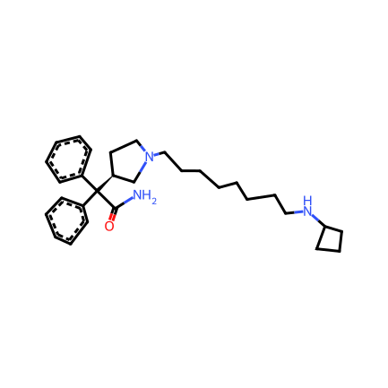 NC(=O)C(c1ccccc1)(c1ccccc1)[C@H]1CCN(CCCCCCCCNC2CCC2)C1